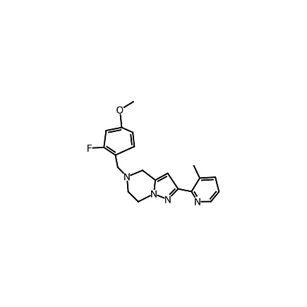 COc1ccc(CN2CCn3nc(-c4ncccc4C)cc3C2)c(F)c1